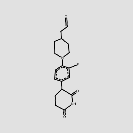 O=CCC1CCN(c2ccc(C3CCC(=O)NC3=O)cc2F)CC1